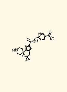 CC[S+]([O-])c1ccc(CNC(=O)c2cc3c(s2)C2(CCNCC2)OC2(CC2)C3)nc1